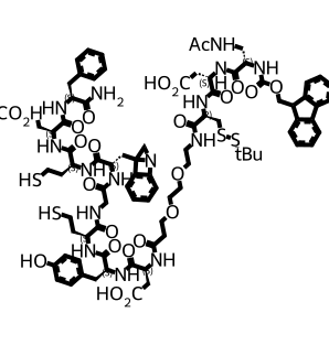 CC(=O)NC[C@H](NC(=O)OCC1c2ccccc2-c2ccccc21)C(=O)N[C@@H](CC(=O)O)C(=O)N[C@@H](CSSC(C)(C)C)C(=O)NCCOCCOCCC(=O)N[C@@H](CC(=O)O)C(=O)N[C@@H](Cc1ccc(O)cc1)C(=O)N[C@@H](CCS)C(=O)NCC(=O)N[C@@H](CC12CN1c1ccccc12)C(=O)N[C@@H](CCS)C(=O)N[C@@H](CC(=O)O)C(=O)N[C@@H](Cc1ccccc1)C(N)=O